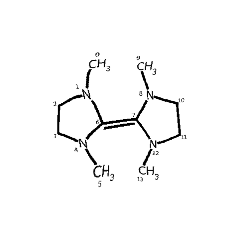 CN1CCN(C)C1=C1N(C)CCN1C